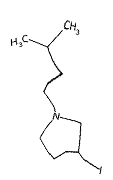 CC(C)CCN1CCC(I)C1